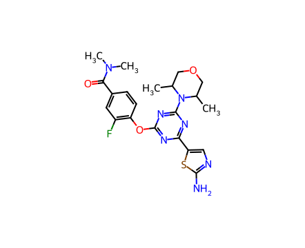 CC1COCC(C)N1c1nc(Oc2ccc(C(=O)N(C)C)cc2F)nc(-c2cnc(N)s2)n1